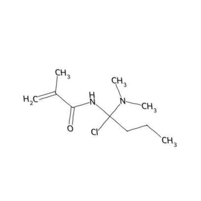 C=C(C)C(=O)NC(Cl)(CCC)N(C)C